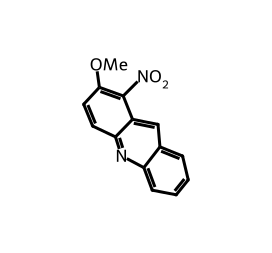 COc1ccc2nc3ccccc3cc2c1[N+](=O)[O-]